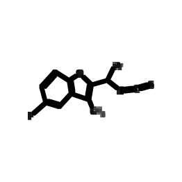 Cc1c(C(N=C=S)C(C)C)oc2ccc(F)cc12